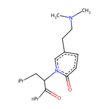 CCCC(=O)C(CC(C)C)n1cc(CCN(C)C)ccc1=O